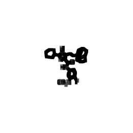 O=C(O)c1cc(NC(=O)c2nc(C3CCCCC3)[nH]c2CCC23CC4CC(CC(C4)C2)C3)ccc1F